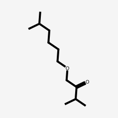 CC(C)CCCCOCC(=O)C(C)C